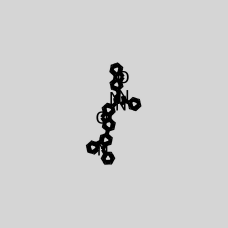 c1ccc(-c2nc(-c3ccc4c(c3)oc3ccccc34)nc(-c3ccc4oc5cc(-c6ccc7c(c6)c6ccccc6n7-c6ccccc6)ccc5c4c3)n2)cc1